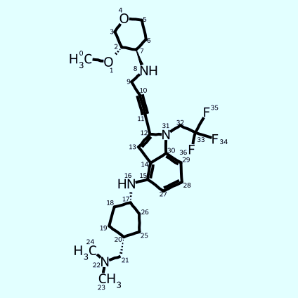 CO[C@@H]1COCC[C@H]1NCC#Cc1cc2c(N[C@H]3CC[C@@H](CN(C)C)CC3)cccc2n1CC(F)(F)F